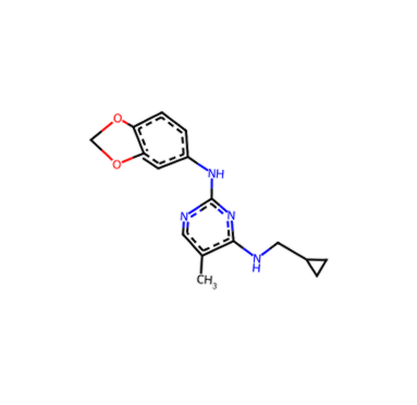 Cc1cnc(Nc2ccc3c(c2)OCO3)nc1NCC1CC1